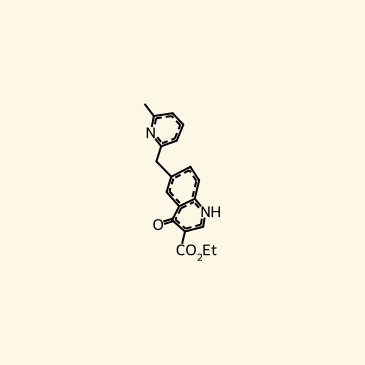 CCOC(=O)c1c[nH]c2ccc(Cc3cccc(C)n3)cc2c1=O